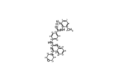 Cc1cccc(C)c1NC(=O)c1ccc(Nc2nc(N3CCOCC3)c3ccccc3n2)cc1